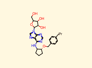 CC(C)c1ccc(CO[C@@H]2CCCC2Nc2ncnc3c2ncn3C2OC(CO)[C@@H](O)[C@H]2O)cc1